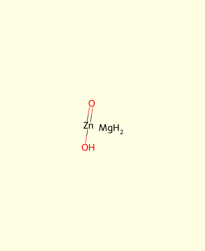 [MgH2].[O]=[Zn][OH]